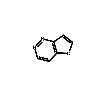 [c]1cnnc2ccoc12